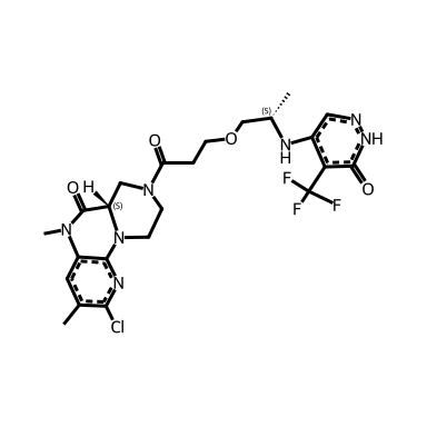 Cc1cc2c(nc1Cl)N1CCN(C(=O)CCOC[C@H](C)Nc3cn[nH]c(=O)c3C(F)(F)F)C[C@H]1C(=O)N2C